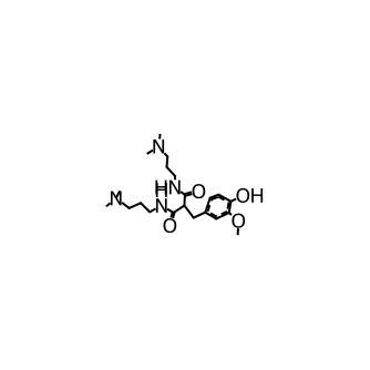 COc1cc(CC(C(=O)NCCCN(C)C)C(=O)NCCCN(C)C)ccc1O